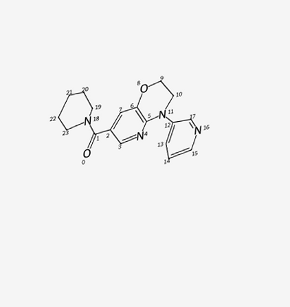 O=C(c1cnc2c(c1)OCCN2c1cccnc1)N1CCCCC1